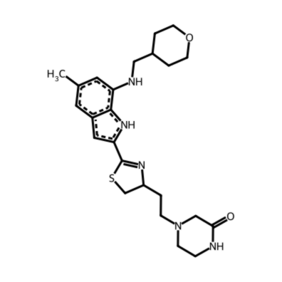 Cc1cc(NCC2CCOCC2)c2[nH]c(C3=NC(CCN4CCNC(=O)C4)CS3)cc2c1